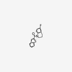 O=C(c1cc2ccccc2s1)N1CCCc2cc(F)ccc21